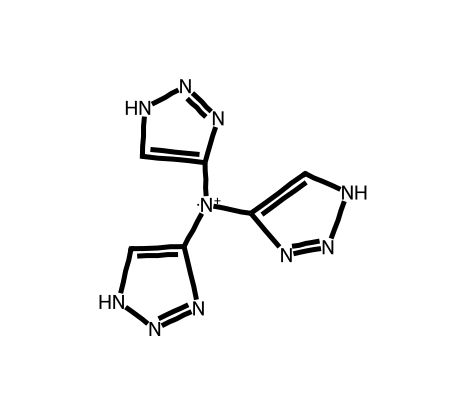 c1[nH]nnc1[N+](c1c[nH]nn1)c1c[nH]nn1